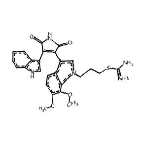 COc1ccc2c(C3=C(c4c[nH]c5ccccc45)C(=O)NC3=O)cn(CCCSC(=N)N)c2c1OC